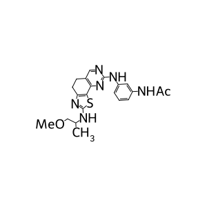 COCC(C)Nc1nc2c(s1)-c1nc(Nc3cccc(NC(C)=O)c3)ncc1CC2